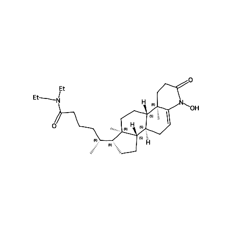 CCN(CC)C(=O)CCC[C@@H](C)[C@H]1CC[C@H]2[C@@H]3CC=C4N(O)C(=O)CC[C@]4(C)[C@H]3CC[C@]12C